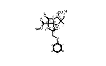 COC(=O)[C@]1(NC(=O)CSc2ccccc2)C(=O)N2[C@@H](C(=O)O)C(C)(C)S[C@@H]21